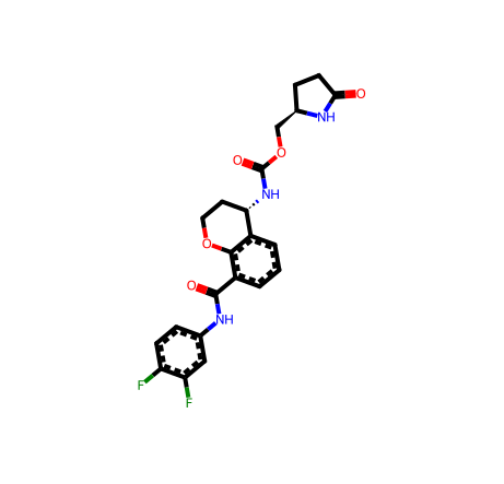 O=C1CC[C@H](COC(=O)N[C@H]2CCOc3c(C(=O)Nc4ccc(F)c(F)c4)cccc32)N1